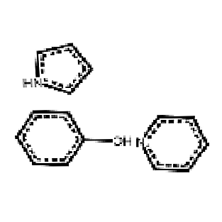 Oc1ccccc1.c1cc[nH]c1.c1ccncc1